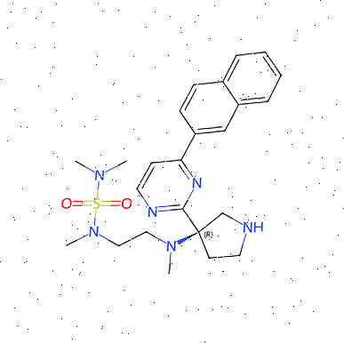 CN(CCN(C)S(=O)(=O)N(C)C)[C@]1(c2nccc(-c3ccc4ccccc4c3)n2)CCNC1